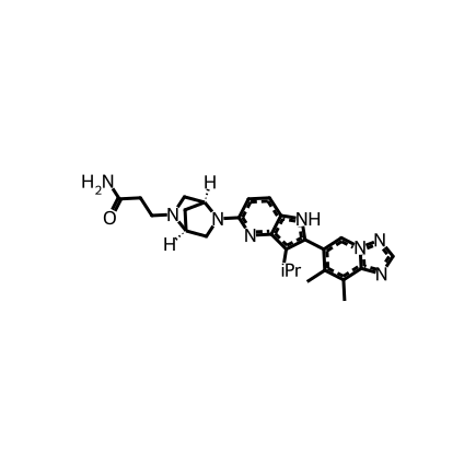 Cc1c(-c2[nH]c3ccc(N4C[C@@H]5C[C@H]4CN5CCC(N)=O)nc3c2C(C)C)cn2ncnc2c1C